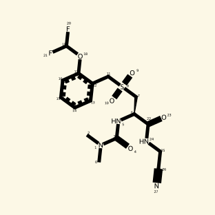 CN(C)C(=O)N[C@@H](CS(=O)(=O)Cc1ccccc1OC(F)F)C(=O)NCC#N